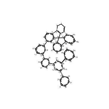 C1=CC2=C(CC1)c1ccc(-c3cccc(-c4cccc(-c5nc(-c6ccccc6)nc(-c6ccccc6)n5)c4)c3)cc1C21c2ccccc2-c2ccccc21